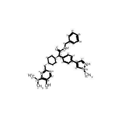 CN(C)c1nc(C[C@H]2CC[C@H](C(C(=O)NCc3ccccc3)c3ccc(-c4cnn(C)c4)cc3)CC2)ncc1O